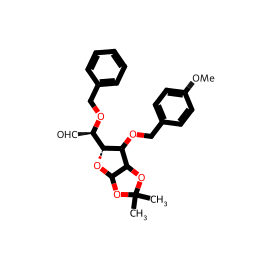 COc1ccc(COC2C3OC(C)(C)OC3O[C@@H]2[C@@H](C=O)OCc2ccccc2)cc1